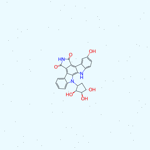 O=C1NC(=O)c2c1c1c3cc(O)ccc3[nH]c1c1c2c2ccccc2n1C1C[C@H](O)[C@@H](O)[C@H]1O